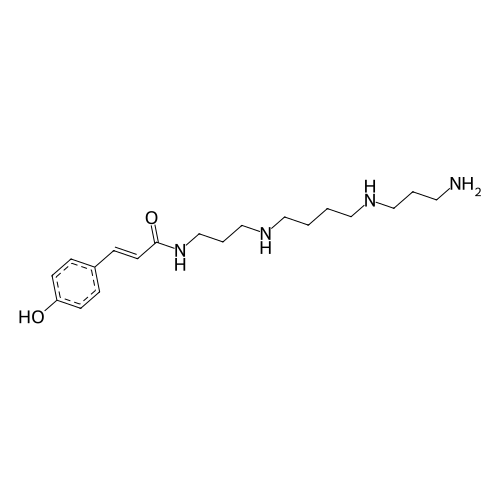 NCCCNCCCCNCCCNC(=O)C=Cc1ccc(O)cc1